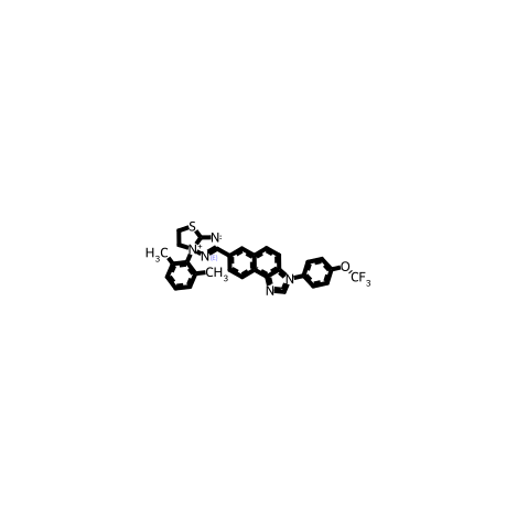 Cc1cccc(C)c1[N+]1(/N=C/c2ccc3c(ccc4c3ncn4-c3ccc(OC(F)(F)F)cc3)c2)CCSC1[N]